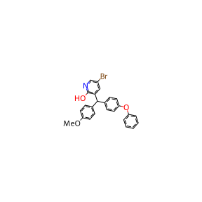 COc1ccc(C(c2ccc(Oc3ccccc3)cc2)c2cc(Br)cnc2O)cc1